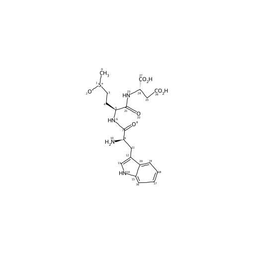 C[S+]([O-])CC[C@H](NC(=O)[C@H](N)Cc1c[nH]c2ccccc12)C(=O)N[C@@H](CC(=O)O)C(=O)O